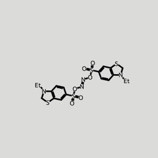 CCN1CSc2cc(S(=O)(=O)ON=NOS(=O)(=O)c3ccc4c(c3)SCN4CC)ccc21